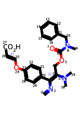 C=N/C(=C(/COC(=O)N(C)Cc1ccccc1)N(C)C)c1ccc(O/C=C/C(=O)O)cc1